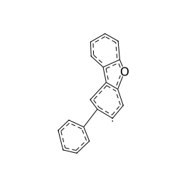 [c]1cc2oc3ccccc3c2cc1-c1ccccc1